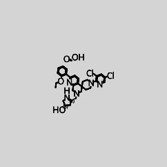 CCOc1ccccc1-c1ccc2c(n1)CN(C[C@H]1C[C@H](O)CN1)CC21CCN(c2ncc(Cl)cc2Cl)CC1.O=CO